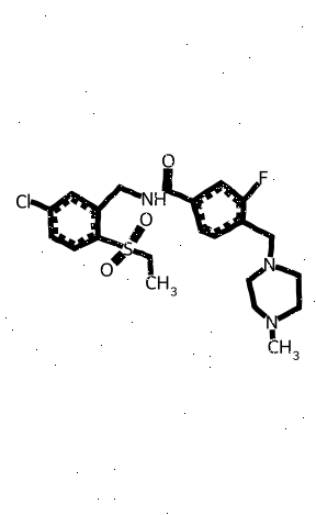 CCS(=O)(=O)c1ccc(Cl)cc1CNC(=O)c1ccc(CN2CCN(C)CC2)c(F)c1